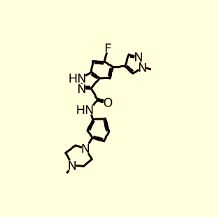 CN1CCN(c2cccc(NC(=O)c3n[nH]c4cc(F)c(-c5cnn(C)c5)cc34)c2)CC1